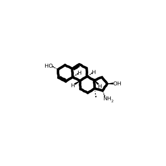 C[C@]12CC[C@H]3[C@@H](CC=C4C[C@@H](O)C=C[C@@H]43)[C@@H]1C[C@@H](O)[C@@H]2N